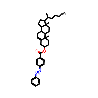 CC(C)CCCC(C)C1CCC2C3CC=C4CC(OC(=O)c5ccc(/N=N/c6ccccc6)cc5)CCC4(C)C3CCC12C